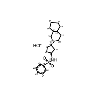 Cl.O=S(=O)(NC1CCC(N2CCC3CCCCC3C2)C1)c1ccccc1